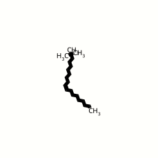 CCCCCCCC/C=C\CCCCCCCC(C)(C)C